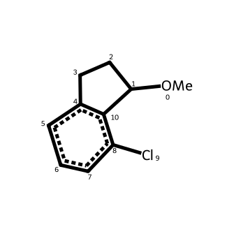 COC1CCc2cccc(Cl)c21